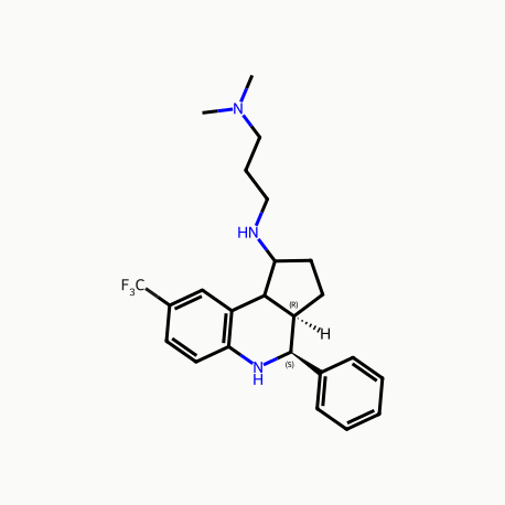 CN(C)CCCNC1CC[C@@H]2C1c1cc(C(F)(F)F)ccc1N[C@@H]2c1ccccc1